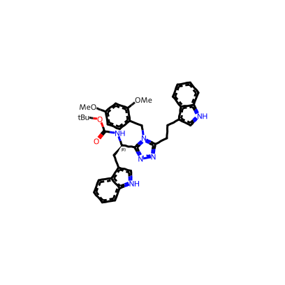 COc1ccc(Cn2c(CCc3c[nH]c4ccccc34)nnc2[C@@H](Cc2c[nH]c3ccccc23)NC(=O)OC(C)(C)C)c(OC)c1